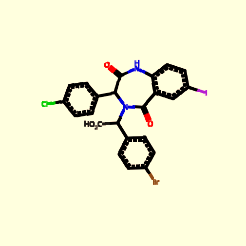 O=C(O)C(c1ccc(Br)cc1)N1C(=O)c2cc(I)ccc2NC(=O)C1c1ccc(Cl)cc1